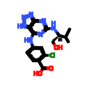 CC(C)[C@H](CO)Nc1nc(Nc2ccc(C(=O)O)c(Cl)c2)c2[nH]nnc2n1